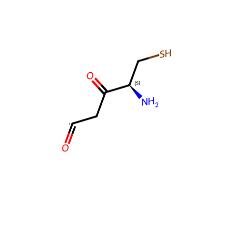 N[C@H](CS)C(=O)C[C]=O